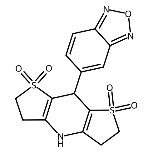 O=S1(=O)CCC2=C1C(c1ccc3nonc3c1)C1=C(CCS1(=O)=O)N2